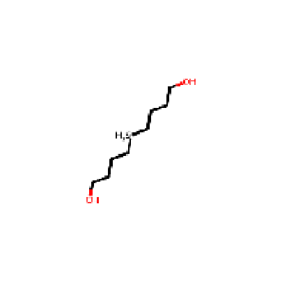 OCCCC[SiH2]CCCCO